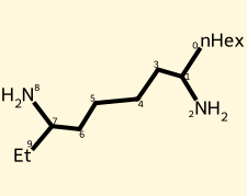 CCCCCCC(N)CCCCC(N)CC